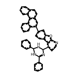 c1ccc(C2=NC(c3ccnc4oc5cc(-c6cc7ccc8ccccc8c7c7ccccc67)ccc5c34)NC(c3ccccc3)N2)cc1